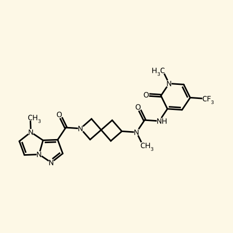 CN(C(=O)Nc1cc(C(F)(F)F)cn(C)c1=O)C1CC2(C1)CN(C(=O)c1cnn3ccn(C)c13)C2